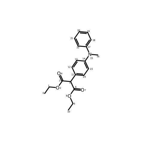 CCOC(=O)C(C(=O)OCC)c1ccc(N(C)c2ccccc2)cc1